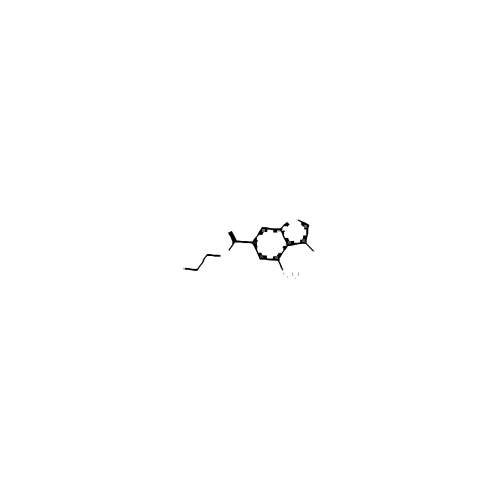 CCc1coc2cc(C(=O)SCCO)cc(NC)c12